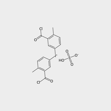 Cc1ccc([I+]c2ccc(C)c(C(=O)Cl)c2)cc1C(=O)Cl.O=S(=O)([O-])O